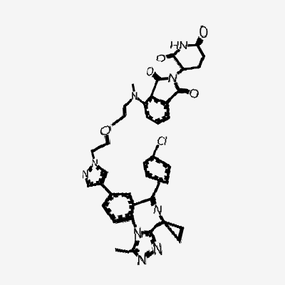 Cc1nnc2n1-c1ccc(-c3cnn(CCOCCN(C)c4cccc5c4C(=O)N(C4CCC(=O)NC4=O)C5=O)c3)cc1C(c1ccc(Cl)cc1)=NC21CC1